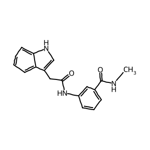 CNC(=O)c1cccc(NC(=O)Cc2c[nH]c3ccccc23)c1